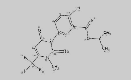 CC(C)OC(=S)c1cc(-n2c(=O)cc(C(F)(F)F)n(C)c2=O)ccc1Cl